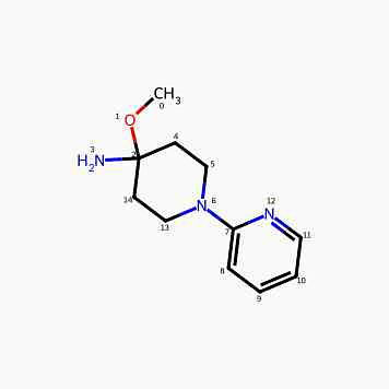 COC1(N)CCN(c2ccccn2)CC1